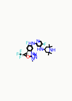 Cn1nnn(-c2cc(Nc3cc(NC4CC(C)(C)NC(C)(C)C4)c(F)cn3)c(F)cc2[C@H]2C[C@@H]2C(F)(F)F)c1=O